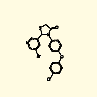 O=C1CSC(c2cncc(Br)c2)N1c1ccc(Oc2ccc(Cl)cc2)cc1